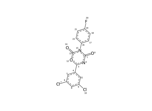 O=c1nc(-c2cc(Cl)cc(Cl)c2)oc(=O)n1-c1ccc(F)cc1